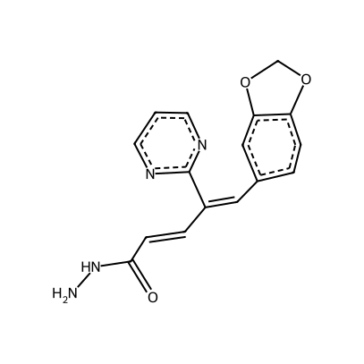 NNC(=O)C=CC(=Cc1ccc2c(c1)OCO2)c1ncccn1